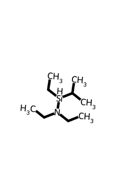 CCN(CC)[SiH](CC)C(C)C